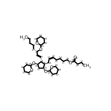 CCCCC[C@@H](/C=C/[C@@H]1[C@@H](C/C=C\CCCCOC(=O)CCC)[C@@H](OC2CCCCO2)C[C@H]1OC1CCCCO1)OC1CCCCO1